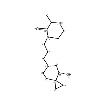 CC1NCCN(CCCN2CCC3(CC3)C(O)C2)C1=O